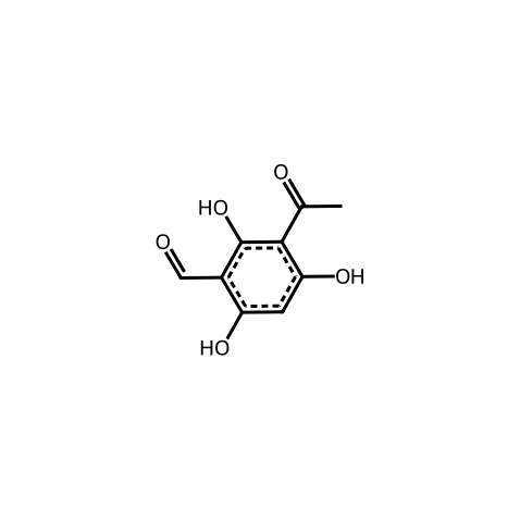 CC(=O)c1c(O)cc(O)c(C=O)c1O